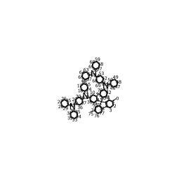 Cc1ccc2c(c1)C(c1ccc(N(c3ccccc3)c3ccc(N(c4ccccc4)c4ccccc4)cc3)cc1)(c1ccc(N(c3ccccc3)c3ccc(N(c4ccccc4)c4ccccc4)cc3)cc1)c1cc(C)ccc1-2